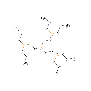 CCCP(CCC)CCP(CCP(CCC)CCC)CCP(CCC)CCC